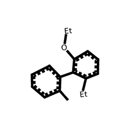 CCOc1cccc(CC)c1-c1ccccc1C